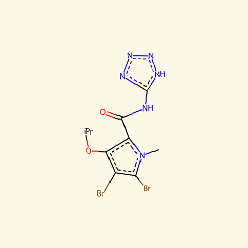 CC(C)Oc1c(Br)c(Br)n(C)c1C(=O)Nc1nnn[nH]1